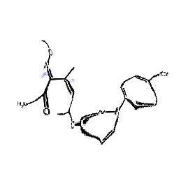 CO/N=C(C(N)=O)\C(C)=C/C(C)Oc1ccn(-c2ccc(Cl)cc2)n1